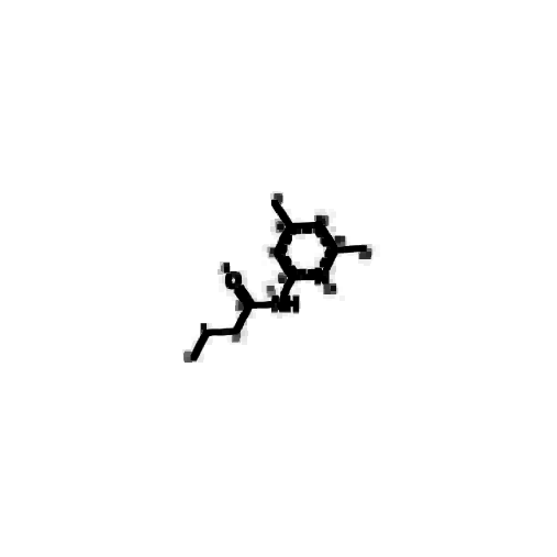 CCCC(=O)Nc1cc(C)cc(C)n1